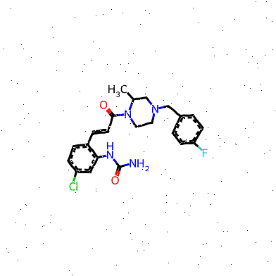 CC1CN(Cc2ccc(F)cc2)CCN1C(=O)/C=C/c1ccc(Cl)cc1NC(N)=O